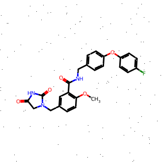 COc1ccc(CN2CC(=O)NC2=O)cc1C(=O)NCc1ccc(Oc2ccc(F)cc2)cc1